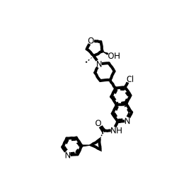 C[C@]1(N2CCC(c3cc4cc(NC(=O)[C@@H]5C[C@H]5c5cccnc5)ncc4cc3Cl)CC2)COC[C@H]1O